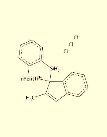 CCCCCc1ccccc1[SiH2][C]1([Ti+3])C(C)=Cc2ccccc21.[Cl-].[Cl-].[Cl-]